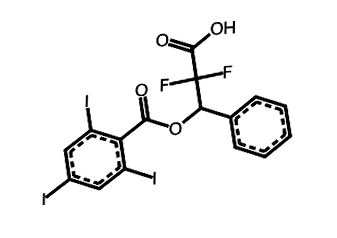 O=C(OC(c1ccccc1)C(F)(F)C(=O)O)c1c(I)cc(I)cc1I